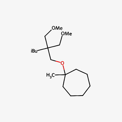 CCC(C)C(COC)(COC)COC1(C)CCCCCC1